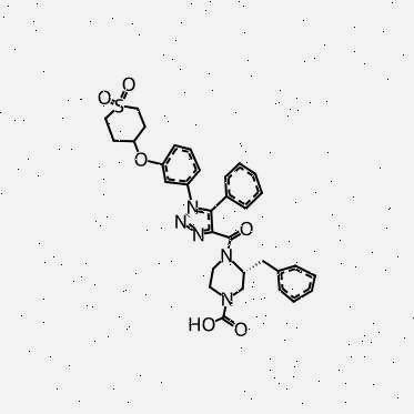 O=C(O)N1CCN(C(=O)c2nnn(-c3cccc(OC4CCS(=O)(=O)CC4)c3)c2-c2ccccc2)[C@H](Cc2ccccc2)C1